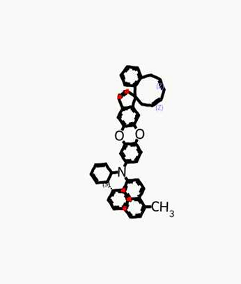 Cc1cccc2cc(N(c3ccc4c(c3)Oc3cc5c(cc3O4)C3(C/C=C\C=C/Cc4ccccc43)c3ccccc3-5)C3C=CC=C[C@H]3c3ccccc3)ccc12